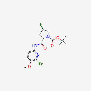 COc1ccc(NC(=O)[C@@H]2C[C@@H](F)CN2C(=O)OC(C)(C)C)nc1Br